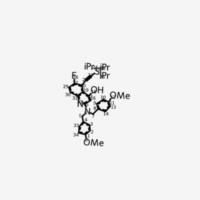 COc1ccc(CN(Cc2ccc(OC)cc2)c2cc(O)c3c(C#C[Si](C(C)C)(C(C)C)C(C)C)c(F)ccc3n2)cc1